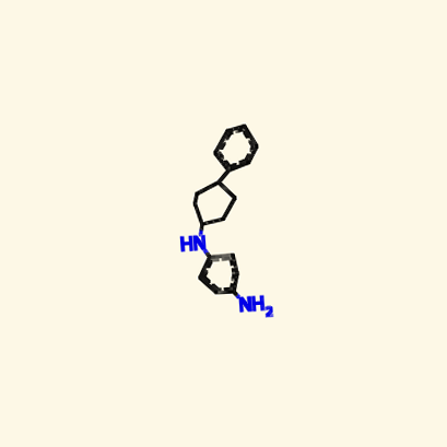 Nc1ccc(NC2CCC(c3ccccc3)CC2)cc1